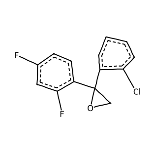 Fc1ccc(C2(c3ccccc3Cl)CO2)c(F)c1